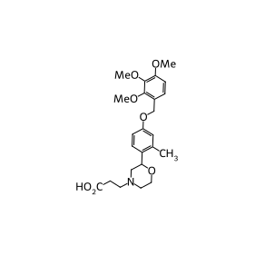 COc1ccc(COc2ccc(C3CN(CCC(=O)O)CCO3)c(C)c2)c(OC)c1OC